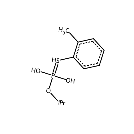 Cc1ccccc1[SH]=P(O)(O)OC(C)C